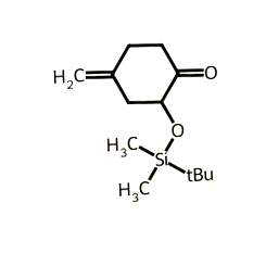 C=C1CCC(=O)C(O[Si](C)(C)C(C)(C)C)C1